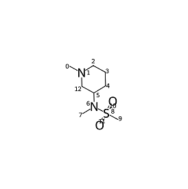 CN1CCCC(N(C)S(C)(=O)=O)C1